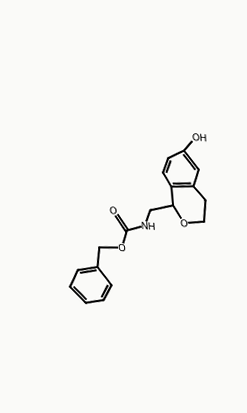 O=C(NCC1OCCc2cc(O)ccc21)OCc1ccccc1